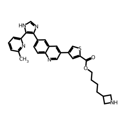 Cc1cccc(-c2[nH]cnc2-c2ccc3ncc(-c4csc(C(=O)OCCCCC5CNC5)c4)cc3c2)n1